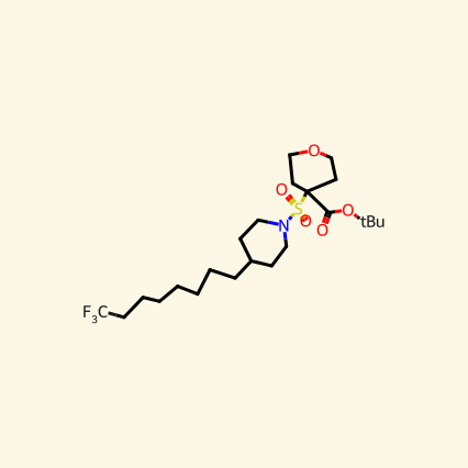 CC(C)(C)OC(=O)C1(S(=O)(=O)N2CCC(CCCCCCCC(F)(F)F)CC2)CCOCC1